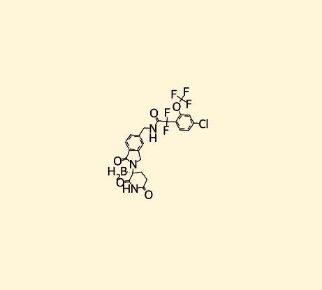 B[C@]1(N2Cc3cc(CNC(=O)C(F)(F)c4ccc(Cl)cc4OC(F)(F)F)ccc3C2=O)CCC(=O)NC1=O